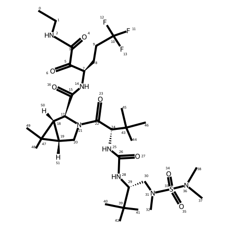 CCNC(=O)C(=O)[C@@H](CCC(F)(F)F)NC(=O)[C@@H]1[C@@H]2[C@H](CN1C(=O)[C@@H](NC(=O)N[C@H](CN(C)S(=O)(=O)N(C)C)C(C)(C)C)C(C)(C)C)C2(C)C